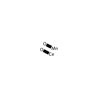 [O]=[Ce].[O]=[Mn]